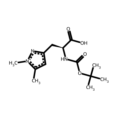 Cc1cc(C[C@H](NC(=O)OC(C)(C)C)C(=O)O)nn1C